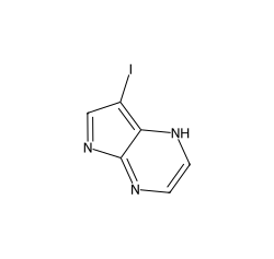 Ic1cnc2ncc[nH]c1-2